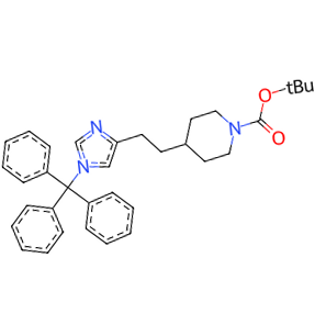 CC(C)(C)OC(=O)N1CCC(CCc2cn(C(c3ccccc3)(c3ccccc3)c3ccccc3)cn2)CC1